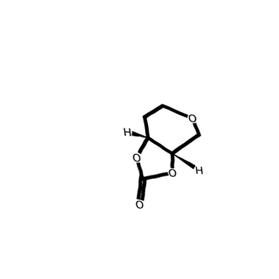 O=C1O[C@H]2COCC[C@H]2O1